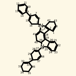 C1=Cc2c(n(C3C=CC(c4ccccc4)=CC3)c3c2=C2c4ccccc4N(C4=CCC(C5=CCCCC5)C=C4)C2CC=3)CC1